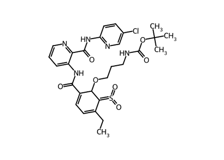 CCC1=CC=C(C(=O)Nc2cccnc2C(=O)Nc2ccc(Cl)cn2)C(OCCCNC(=O)OC(C)(C)C)C1=S(=O)=O